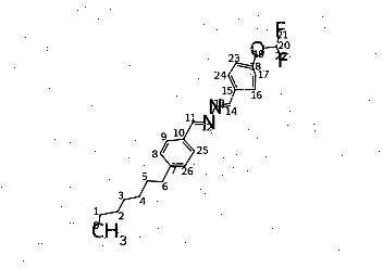 CCCCCCCc1ccc(C=NN=Cc2ccc(OC(F)F)cc2)cc1